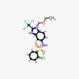 CCOCn1c(C(F)(F)F)nc2cc(NS(=O)(=O)c3ccccc3Cl)ccc21